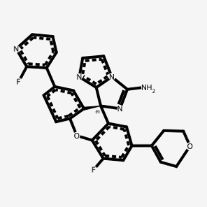 NC1=N[C@@]2(c3cc(-c4cccnc4F)ccc3Oc3c(F)cc(C4=CCOCC4)cc32)c2nccn21